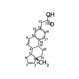 C[C@@]12C=CCC1C1C=Cc3cc(CC(=O)O)ccc3C1CC2